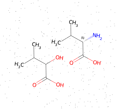 CC(C)C(O)C(=O)O.CC(C)[C@H](N)C(=O)O